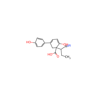 CCC(C#N)C1(C(=O)O)CC(c2ccc(O)cc2)=CC=C1O